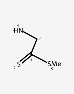 CSC(=S)C[NH]